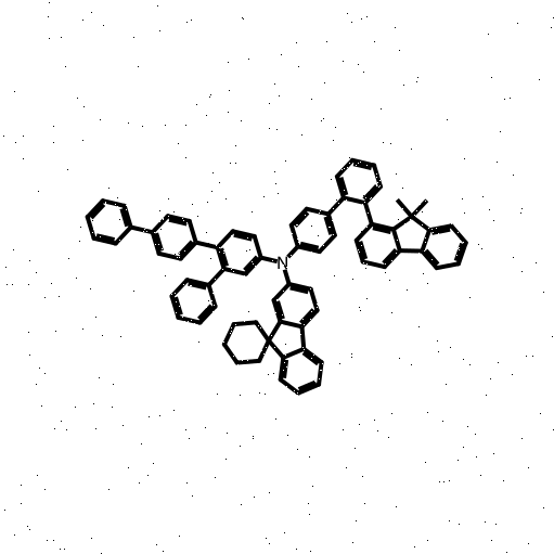 CC1(C)c2ccccc2-c2cccc(-c3ccccc3-c3ccc(N(c4ccc(-c5ccc(-c6ccccc6)cc5)c(-c5ccccc5)c4)c4ccc5c(c4)C4(CCCCC4)c4ccccc4-5)cc3)c21